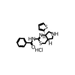 Cl.O=C(NC1=N[C@@]2(c3cccs3)CNC[C@H]2CS1)c1ccccc1